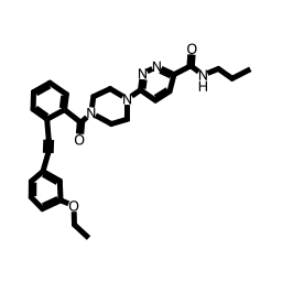 CCCNC(=O)c1ccc(N2CCN(C(=O)c3ccccc3C#Cc3cccc(OCC)c3)CC2)nn1